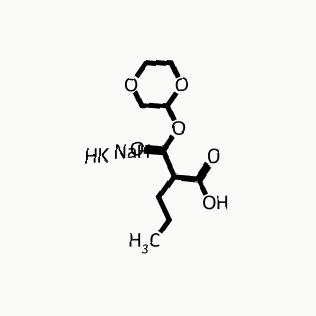 CCCC(C(=O)O)C(=O)OC1COCCO1.[KH].[NaH]